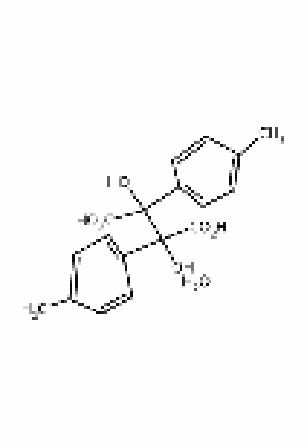 Cc1ccc(C(O)(C(=O)O)C(O)(C(=O)O)c2ccc(C)cc2)cc1.O